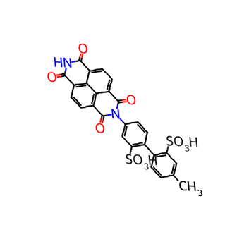 Cc1ccc(-c2ccc(N3C(=O)c4ccc5c6c(ccc(c46)C3=O)C(=O)NC5=O)cc2S(=O)(=O)O)c(S(=O)(=O)O)c1